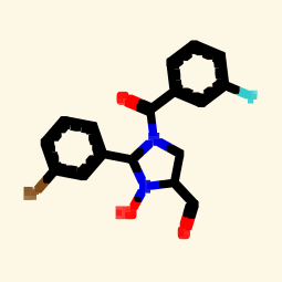 O=CC1CN(C(=O)c2cccc(F)c2)C(c2cccc(Br)c2)N1O